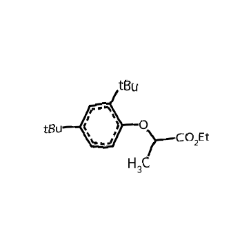 CCOC(=O)C(C)Oc1ccc(C(C)(C)C)cc1C(C)(C)C